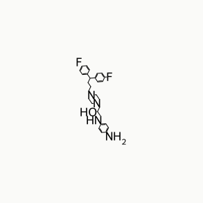 Nc1ccc(NCC(O)CN2CCN(CCCC(c3ccc(F)cc3)c3ccc(F)cc3)CC2)cc1